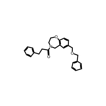 O=C(CCc1ccccc1)N1CCOc2ccc(COCc3ccccc3)cc2C1